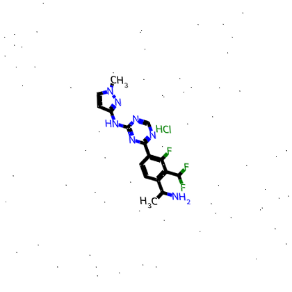 CC(N)c1ccc(-c2ncnc(Nc3ccn(C)n3)n2)c(F)c1C(F)F.Cl